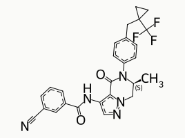 C[C@H]1Cn2ncc(NC(=O)c3cccc(C#N)c3)c2C(=O)N1c1ccc(CC2(C(F)(F)F)CC2)cc1